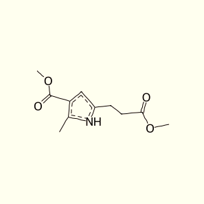 COC(=O)CCc1cc(C(=O)OC)c(C)[nH]1